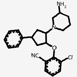 N#Cc1cccc(Cl)c1OC1CC(c2ccccc2)CC1N1CCCC(N)C1